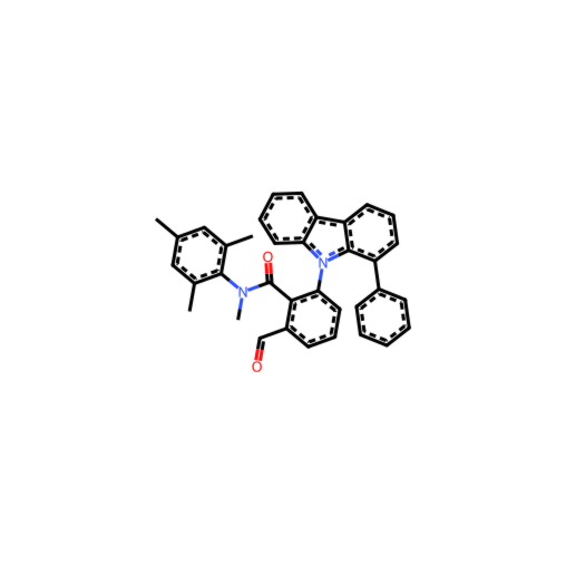 Cc1cc(C)c(N(C)C(=O)c2c(C=O)cccc2-n2c3ccccc3c3cccc(-c4ccccc4)c32)c(C)c1